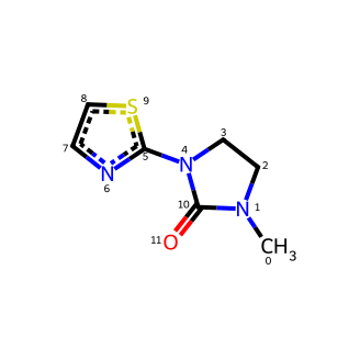 CN1CCN(c2nccs2)C1=O